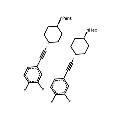 CCCCCC[C@H]1CC[C@H](C#Cc2ccc(F)c(F)c2)CC1.CCCCC[C@H]1CC[C@H](C#Cc2ccc(F)c(F)c2)CC1